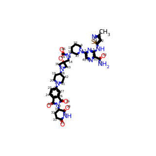 Cc1cc(Nc2nc(N3CCC[C@@H](N4CC5(CN(C6CCN(c7ccc8c(c7)C(=O)N(C7CCC(=O)NC7=O)C8=O)CC6)C5)OC4=O)C3)cnc2C(N)=O)sn1